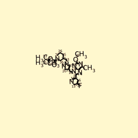 CCOc1nc(C)c2nc(-c3cncc(F)c3)n(Cc3cnn(CC4CCCN(C(=O)OC(C)(C)C)C4)c3)c2n1